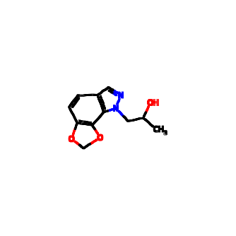 CC(O)Cn1ncc2ccc3c(c21)OCO3